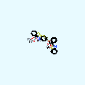 CCO[Si](OCC)(OCC)C1(c2nc3ccccc3s2)C=CC=CC1SSSSSSC1C=CC=CC1(c1nc2ccccc2s1)[Si](OCC)(OCC)OCC